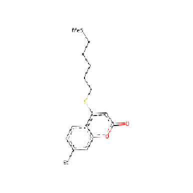 CCc1ccc2c(SCCCCCSC)cc(=O)oc2c1